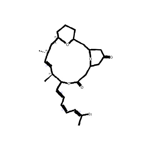 CC/C(C)=C/C=C\C=C\C1OC(=O)CC2CC(=O)CC(CC3CCC[C@H](C[C@@H](C)/C=C/[C@@H]1C)O3)O2